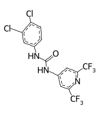 O=C(Nc1cc(C(F)(F)F)nc(C(F)(F)F)c1)Nc1ccc(Cl)c(Cl)c1